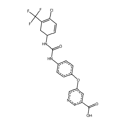 O=C(Nc1ccc(Oc2cncc(C(=O)O)c2)cc1)NC1C=CC(Cl)=C(C(F)(F)F)C1